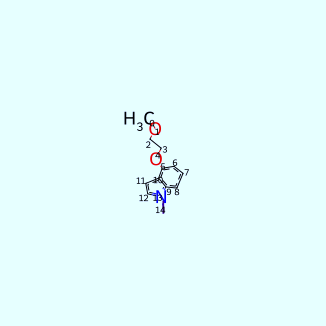 COCCOc1cccc2c1ccn2I